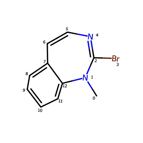 CN1C(Br)=NC=Cc2ccccc21